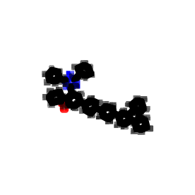 c1ccc(-c2nc(-c3ccccc3)nc(-c3cc(-c4ccc(-c5ccc(-c6ccc7c8ccccc8c8ccccc8c7c6)cc5)cc4)cc4oc5ccccc5c34)n2)cc1